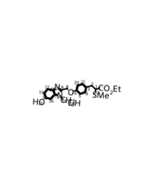 CCOC(=O)C(Cc1ccc(OCc2nc3ccc(O)cc3n2C)cc1)SC.Cl